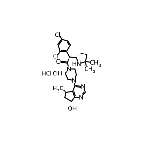 C[C@@H]1C[C@@H](O)c2ncnc(N3CCN(C(=O)[C@@H](c4ccc(Cl)cc4Cl)[C@@H]4CCC(C)(C)N4)CC3)c21.Cl.Cl